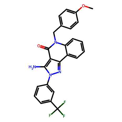 COc1ccc(Cn2c(=O)c3c(N)n(-c4cccc(C(F)(F)F)c4)nc3c3ccccc32)cc1